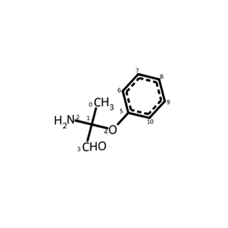 CC(N)(C=O)Oc1ccccc1